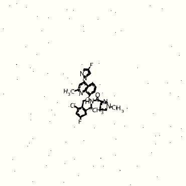 Cc1cc(-n2cc(F)cn2)c2cccc(OCc3c(Cl)cc(F)cc3[C@H](C)NC(=O)c3ccn(C)n3)c2n1